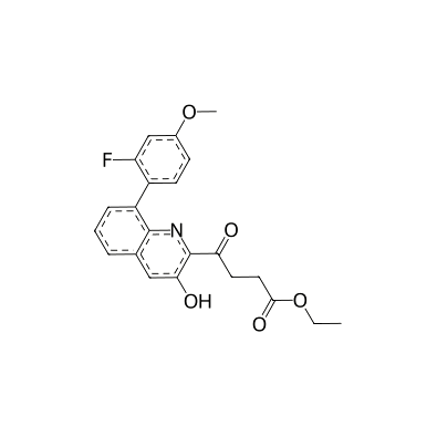 CCOC(=O)CCC(=O)c1nc2c(-c3ccc(OC)cc3F)cccc2cc1O